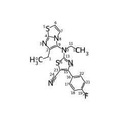 CCc1nc2sccn2c1N(CC)c1nc(-c2ccc(F)cc2)c(C#N)s1